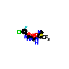 C[C@H](NC(=O)c1cnc(-c2cc(F)cc(Cl)c2)o1)C(=O)N[C@@H](CCC(F)(F)F)C(=O)c1nccs1